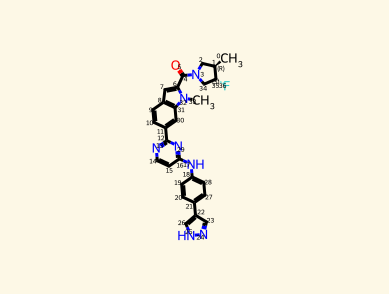 C[C@@H]1CN(C(=O)c2cc3ccc(-c4nccc(Nc5ccc(-c6cn[nH]c6)cc5)n4)cc3n2C)C[C@H]1F